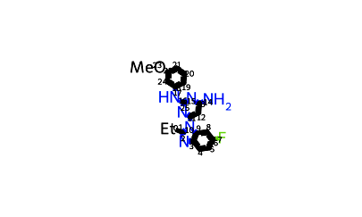 CCc1nc2ccc(F)cc2n1-c1cc(N)nc(Nc2cccc(OC)c2)n1